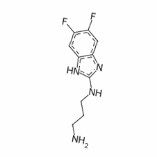 NCCCNc1nc2cc(F)c(F)cc2[nH]1